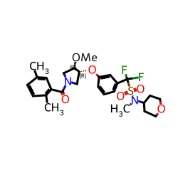 CO[C@@H]1CN(C(=O)c2cc(C)ccc2C)C[C@H]1Oc1cccc(C(F)(F)S(=O)(=O)N(C)C2CCOCC2)c1